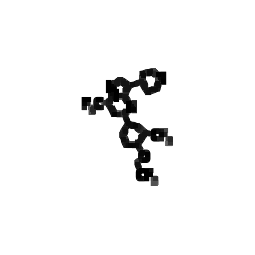 FC(F)(F)COc1ccc(-c2cc(C(F)(F)F)n3ncc(-c4ccncc4)c3n2)cc1C(F)(F)F